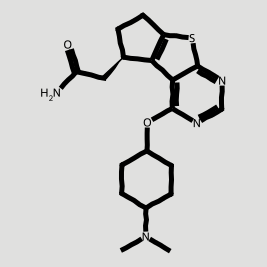 CN(C)C1CCC(Oc2ncnc3sc4c(c23)[C@@H](CC(N)=O)CC4)CC1